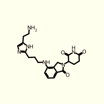 NCCc1cnc(CCCNc2cccc3c2CN(C2CCC(=O)NC2=O)C3=O)[nH]1